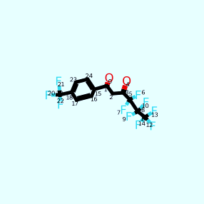 O=C(CC(=O)C(F)(F)C(F)(F)C(F)(F)F)c1ccc(C(F)(F)F)cc1